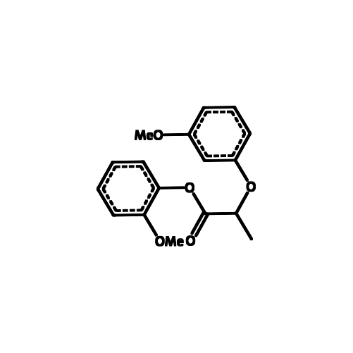 COc1cccc(OC(C)C(=O)Oc2ccccc2OC)c1